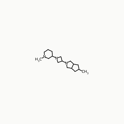 CC1CC2CN(C3CN(C4CCCN(C)C4)C3)CC2C1